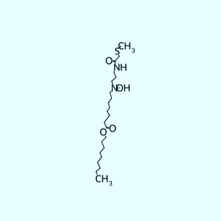 CCCCCCCCCOC(=O)CCCCCCCN(O)CCCNC(=O)CSC